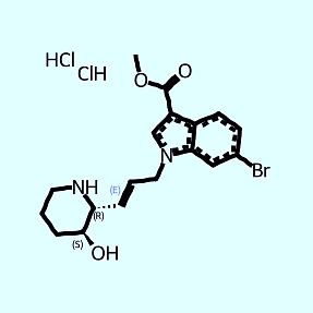 COC(=O)c1cn(C/C=C/[C@H]2NCCC[C@@H]2O)c2cc(Br)ccc12.Cl.Cl